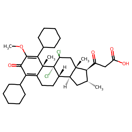 COC1=C(C2CCCCC2)[C@@]2(C)C(=C(C3CCCCC3)C1=O)CC[C@H]1[C@@H]3C[C@@H](C)[C@H](C(=O)CC(=O)O)[C@@]3(C)C[C@H](Cl)[C@@]12Cl